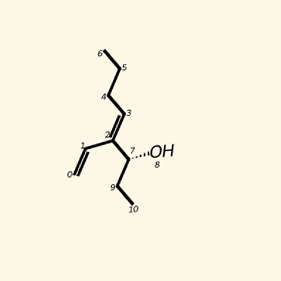 C=C/C(=C\CCC)[C@H](O)CC